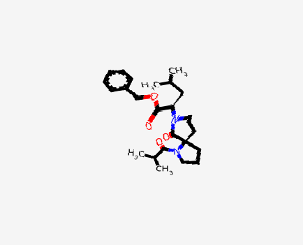 CC(C)C[C@H](C(=O)OCc1ccccc1)N1CC[C@]2(CCCN2C(=O)C(C)C)C1=O